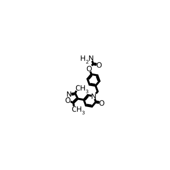 Cc1noc(C)c1-c1ccc(=O)n(Cc2ccc(OC(N)=O)cc2)c1